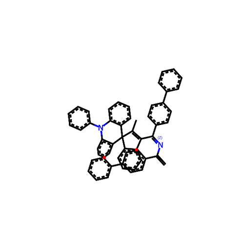 C=C(/N=C(\C1=C(C)C2(c3ccccc31)c1ccccc1N(c1ccccc1)c1ccccc12)c1ccc(-c2ccccc2)cc1)c1ccc(-c2ccccc2)cc1